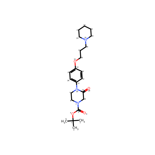 CC(C)(C)OC(=O)N1CCN(c2ccc(OCCCN3CCCCC3)cc2)C(=O)C1